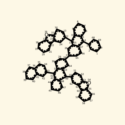 c1ccc(-c2c3ccccc3c(-c3ccc4oc5ccccc5c4c3)c3cc(-c4ccc5c(-c6ccc7ccccc7c6)c6ccccc6c(-c6ccc7oc8ccccc8c7c6)c5c4)ccc23)cc1